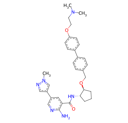 CN(C)CCOc1ccc(-c2ccc(CO[C@H]3CCC[C@@H]3NC(=O)c3cc(-c4cnn(C)c4)cnc3N)cc2)cc1